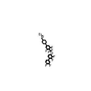 CCOCC1CCC(c2cc(F)c(C(F)(F)Oc3ccc(-c4ccc(F)c(F)c4)c(F)c3F)c(F)c2)CC1